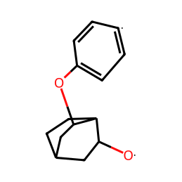 [O]C1CC2CCC1C(Oc1cc[c]cc1)C2